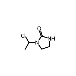 CC(Cl)N1CCNC1=O